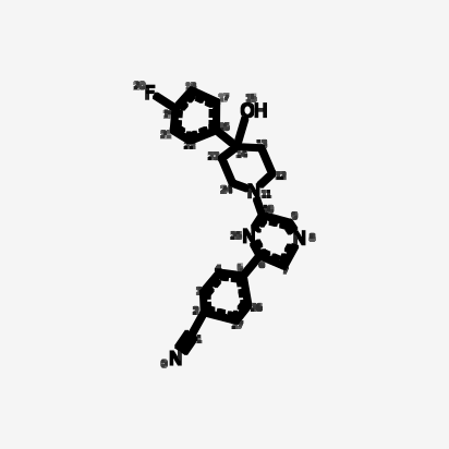 N#Cc1ccc(-c2cncc(N3CCC(O)(c4ccc(F)cc4)CC3)n2)cc1